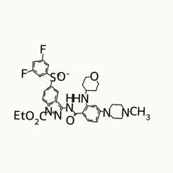 CCOC(=O)n1nc(NC(=O)c2ccc(N3CCN(C)CC3)cc2NC2CCOCC2)c2cc([S+]([O-])c3cc(F)cc(F)c3)ccc21